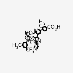 Cc1cc([C@H]2OC(=O)N(Cc3nc(-n4ccnc4)ncc3-c3cc(-c4ccc(C(=O)O)cc4C)cnc3CO)[C@H]2C)cc(C(F)(F)F)c1